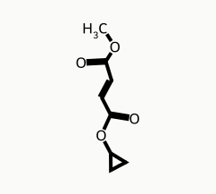 COC(=O)C=CC(=O)OC1CC1